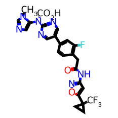 Cn1cncc1N(C(=O)O)c1ncc(-c2ccc(CC(=O)Nc3cc(C4(C(F)(F)F)CC4)on3)c(F)c2)cn1